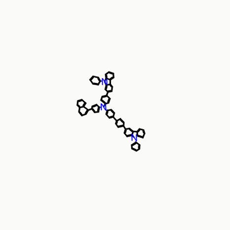 c1ccc(-n2c3ccccc3c3cc(-c4ccc(-c5ccc(N(c6ccc(-c7ccc8c9ccccc9n(-c9ccccc9)c8c7)cc6)c6ccc(-c7cccc8ccccc78)cc6)cc5)cc4)ccc32)cc1